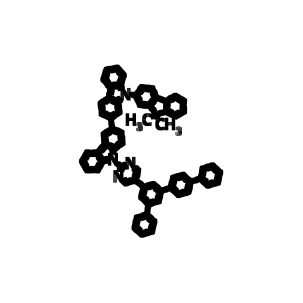 CC1(C)c2ccccc2-c2ccc(-n3c4ccccc4c4ccc(-c5ccc6c(c5)c5ccccc5n6-c5ncc(-c6cc(-c7ccccc7)cc(-c7ccc(-c8ccccc8)cc7)c6)cn5)cc43)cc21